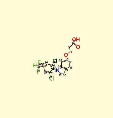 O=C(O)CCOc1ccc2ccn(-c3c(Cl)cc(C(F)(F)F)cc3Cl)c2c1